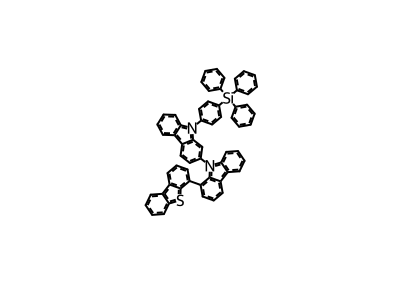 c1ccc([Si](c2ccccc2)(c2ccccc2)c2ccc(-n3c4ccccc4c4ccc(-n5c6ccccc6c6cccc(-c7cccc8c7sc7ccccc78)c65)cc43)cc2)cc1